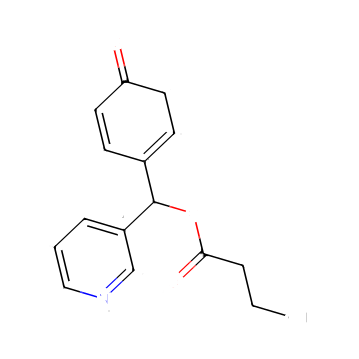 CCCC(=O)OC(C1=CCC(=O)C=C1)c1cccnc1